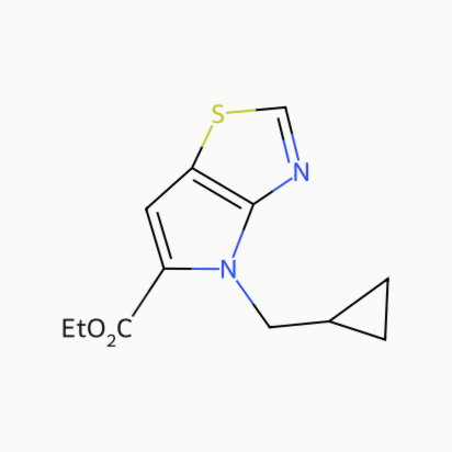 CCOC(=O)c1cc2scnc2n1CC1CC1